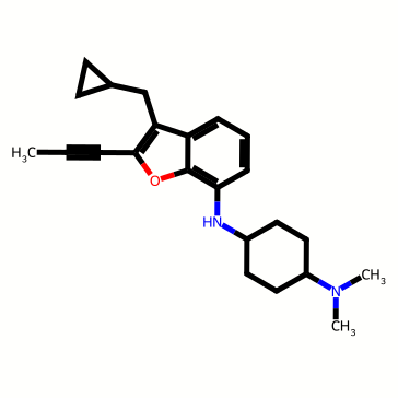 CC#Cc1oc2c(NC3CCC(N(C)C)CC3)cccc2c1CC1CC1